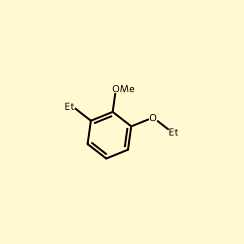 CCOc1cccc(CC)c1OC